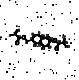 C=C(C)C(=O)OCc1ccc2cc(OC(=O)C(=C)C)ccc2c1